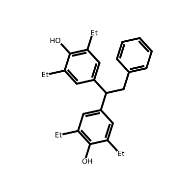 CCc1cc(C(Cc2ccccc2)c2cc(CC)c(O)c(CC)c2)cc(CC)c1O